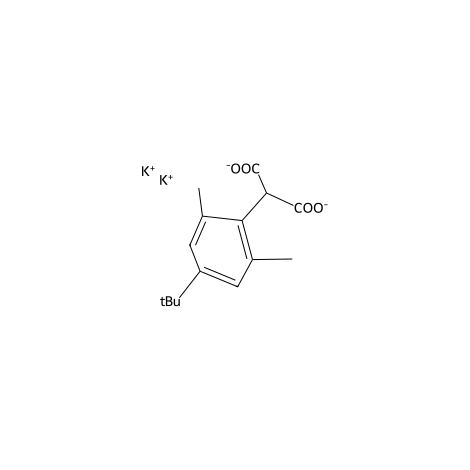 Cc1cc(C(C)(C)C)cc(C)c1C(C(=O)[O-])C(=O)[O-].[K+].[K+]